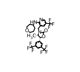 C[C@H]1[C@@H](c2cc(C(F)(F)F)cc(C(F)(F)F)c2)OC(=O)N1Cc1cc(C(F)(F)F)cnc1NC1CCCOCC1